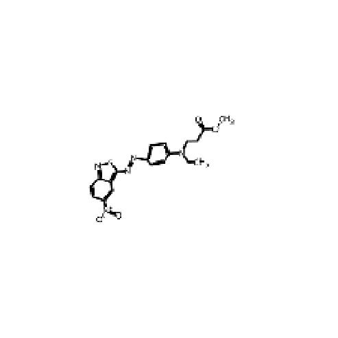 CCN(CCC(=O)OC)c1ccc(N=Nc2snc3ccc([N+](=O)[O-])cc23)cc1